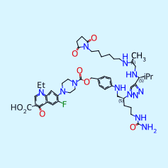 CCn1cc(C(=O)O)c(=O)c2cc(F)c(N3CCN(C(=O)OCc4ccc(NC[C@H](CCCNC(N)=O)n5cc([C@@H](NC[C@H](C)NCCCCCCN6C(=O)CCC6=O)C(C)C)nn5)cc4)CC3)cc21